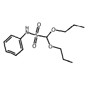 CCCOC(OCCC)S(=O)(=O)Nc1ccccc1